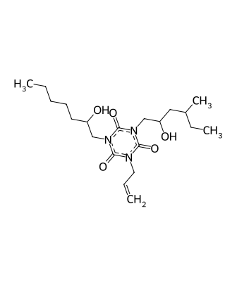 C=CCn1c(=O)n(CC(O)CCCCC)c(=O)n(CC(O)CC(C)CC)c1=O